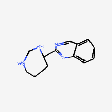 c1ccc2nc(C3CCCNCN3)ncc2c1